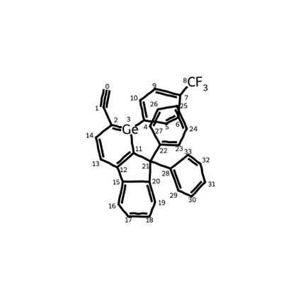 C#C[C]1=[Ge]([c]2ccc(C(F)(F)F)cc2)[C]2=C(C=C1)c1ccccc1C2(c1ccccc1)c1ccccc1